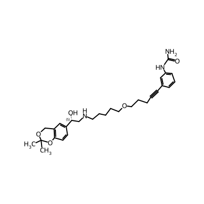 CC1(C)OCc2cc([C@H](O)CNCCCCCOCCCC#Cc3cccc(NC(N)=O)c3)ccc2O1